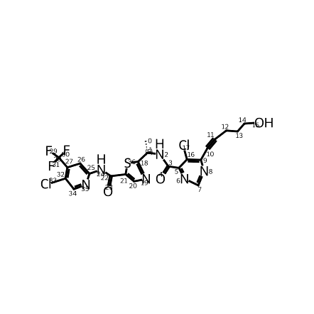 C[C@H](NC(=O)c1ncnc(C#CCCCO)c1Cl)c1ncc(C(=O)Nc2cc(C(F)(F)F)c(Cl)cn2)s1